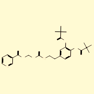 CC(C)(C)C(=O)Oc1ccc(CCNC(=O)OCOC(=O)c2cccnc2)cc1OC(=O)C(C)(C)C